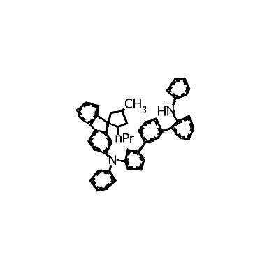 CCCC1CC(C)CC12c1ccccc1-c1ccc(N(c3ccccc3)c3cccc(-c4cccc(-c5ccccc5Nc5ccccc5)c4)c3)cc12